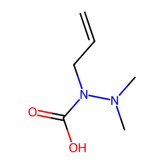 C=CCN(C(=O)O)N(C)C